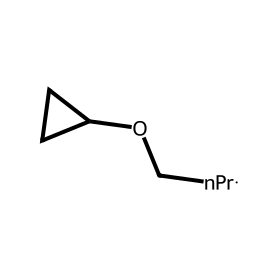 CC[CH]COC1CC1